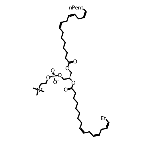 CC/C=C\C/C=C\C/C=C\CCCCCCCC(=O)O[C@H](COC(=O)CCCCCC/C=C\C/C=C\C/C=C\CCCCC)COP(=O)([O-])OCC[N+](C)(C)C